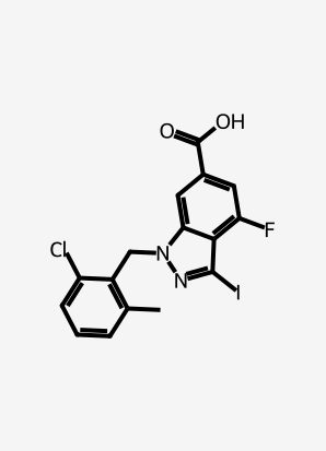 Cc1cccc(Cl)c1Cn1nc(I)c2c(F)cc(C(=O)O)cc21